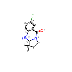 CC1(C)CCN2C(=O)c3cc(F)ccc3NC21